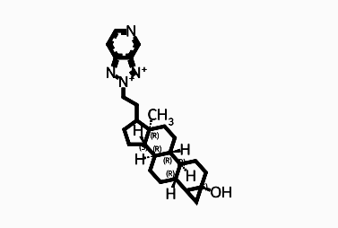 C[C@]12CC[C@@H]3[C@H]4CC[C@]5(O)CC5[C@@H]4CC[C@H]3[C@@H]1CCC2CC[N+]1=[N+]=c2cnccc2=N1